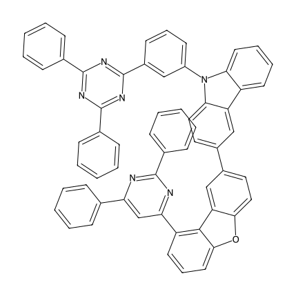 c1ccc(-c2cc(-c3cccc4oc5ccc(-c6ccc7c(c6)c6ccccc6n7-c6cccc(-c7nc(-c8ccccc8)nc(-c8ccccc8)n7)c6)cc5c34)nc(-c3ccccc3)n2)cc1